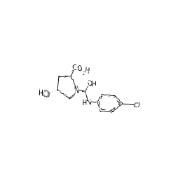 O=C(O)C1C[C@@H](O)CN1C(O)Nc1ccc(Cl)cc1